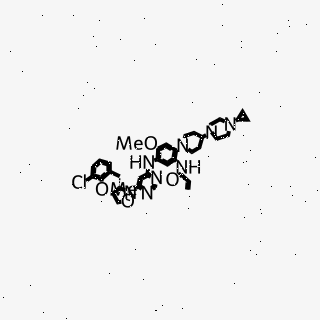 C=CC(=O)Nc1cc(Nc2cc(N3OCC[C@@H]3Cc3cccc(Cl)c3OC)ncn2)c(OC)cc1N1CCC(N2CCN(C3CC3)CC2)CC1